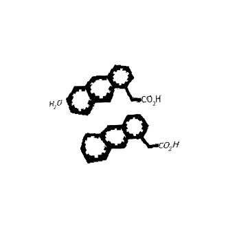 O.O=C(O)Cc1cccc2cc3ccccc3cc12.O=C(O)Cc1cccc2cc3ccccc3cc12